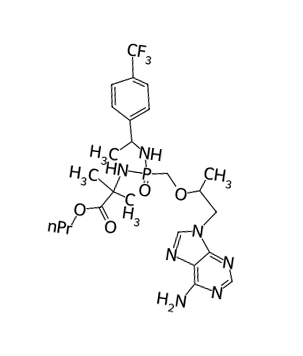 CCCOC(=O)C(C)(C)NP(=O)(COC(C)Cn1cnc2c(N)ncnc21)NC(C)c1ccc(C(F)(F)F)cc1